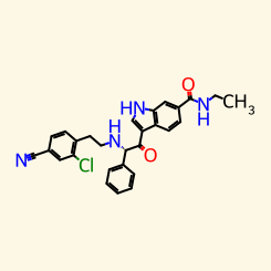 CCNC(=O)c1ccc2c(C(=O)[C@@H](NCCc3ccc(C#N)cc3Cl)c3ccccc3)c[nH]c2c1